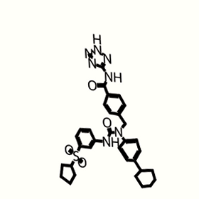 O=C(Nc1nn[nH]n1)c1ccc(CN(C(=O)Nc2cccc(S(=O)(=O)C3CCCC3)c2)c2ccc(C3CCCCC3)cc2)cc1